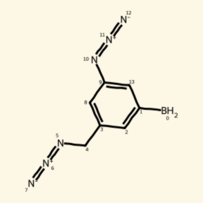 Bc1cc(CN=[N+]=[N-])cc(N=[N+]=[N-])c1